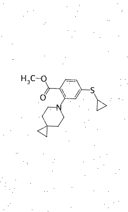 COC(=O)c1ccc(SC2CC2)cc1N1CCC2(CC1)CC2